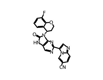 N#Cc1ccc2ncc(-c3ncc4[nH]c(=O)n([C@@H]5CCOc6c(F)cccc65)c4n3)n2c1